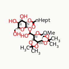 CCCCCCCC(=O)O[C@@H]1[C@H](OC(O)[C@@H](OCOC)[C@H]2OC(C)(C)O[C@@H]2[C@@H]2COC(C)(C)O2)O[C@H](CO)[C@@H](O)[C@@H]1O